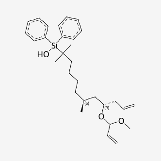 C=CC[C@@H](C[C@@H](C)CCCCC(C)(C)[Si](O)(c1ccccc1)c1ccccc1)OC(C=C)OC